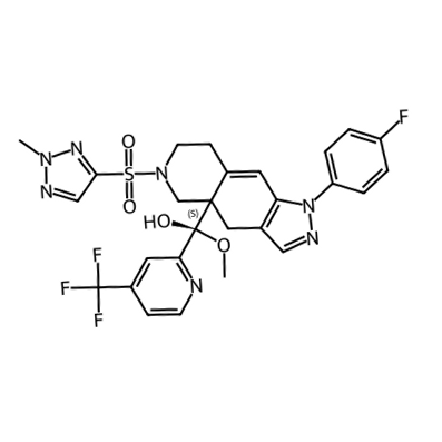 CO[C@](O)(c1cc(C(F)(F)F)ccn1)C12Cc3cnn(-c4ccc(F)cc4)c3C=C1CCN(S(=O)(=O)c1cnn(C)n1)C2